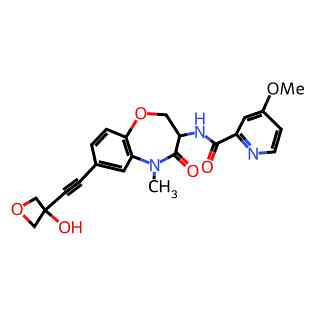 COc1ccnc(C(=O)NC2COc3ccc(C#CC4(O)COC4)cc3N(C)C2=O)c1